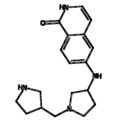 O=c1[nH]ccc2cc(NC3CCN(CC4CCNC4)C3)ccc12